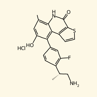 Cc1cc(O)c(-c2ccc([C@@H](C)CN)c(F)c2)c2c1[nH]c(=O)c1sccc12.Cl